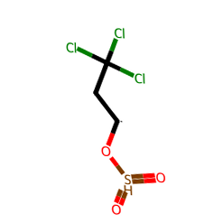 O=[SH](=O)O[CH]CC(Cl)(Cl)Cl